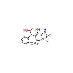 COc1ccccc1[C@@H]1C2=C(NC[C@@H]1O)C1NC(C)=C(C)N1C=C2